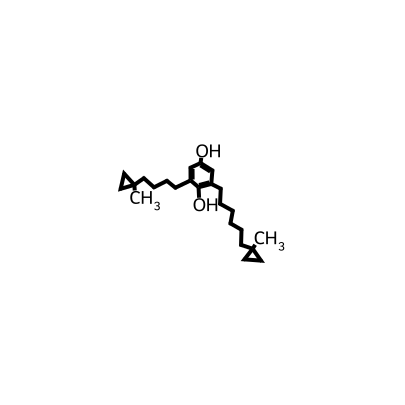 CC1(CCCCCCc2cc(O)cc(CCCCC3(C)CC3)c2O)CC1